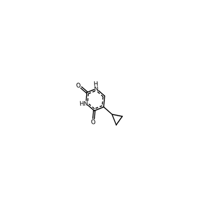 O=c1[nH]cc(C2CC2)c(=O)[nH]1